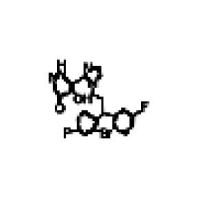 O=c1cn[nH]c(-c2nccn2CCC(c2cccc(F)c2)c2ccc(F)cc2Br)c1O